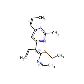 C=C/C(=C(\N=C/C)SCC)c1cc(/C=C\C)nc(C)n1